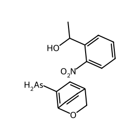 CC(O)c1ccccc1[N+](=O)[O-].[AsH2]c1cc2ccc1OC2